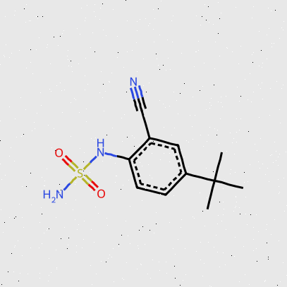 CC(C)(C)c1ccc(NS(N)(=O)=O)c(C#N)c1